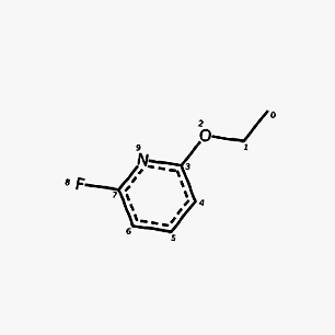 CCOc1cccc(F)n1